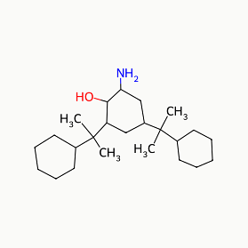 CC(C)(C1CCCCC1)C1CC(N)C(O)C(C(C)(C)C2CCCCC2)C1